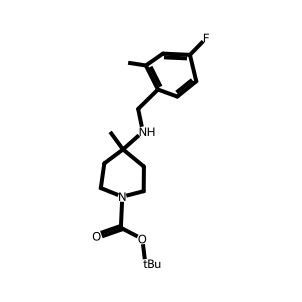 Cc1cc(F)ccc1CNC1(C)CCN(C(=O)OC(C)(C)C)CC1